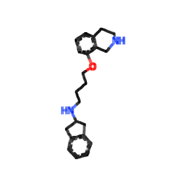 c1ccc2c(c1)CC(NCCCCOc1cccc3c1CNCC3)C2